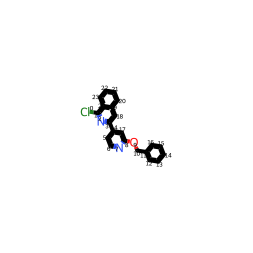 Clc1nc(-c2ccnc(OCc3ccccc3)c2)cc2ccccc12